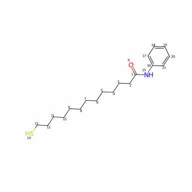 O=C(CCCCCCCCCCCCS)Nc1ccccc1